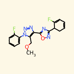 COCc1c(-c2nc(C3CC=CC=C3F)no2)nnn1-c1ccccc1F